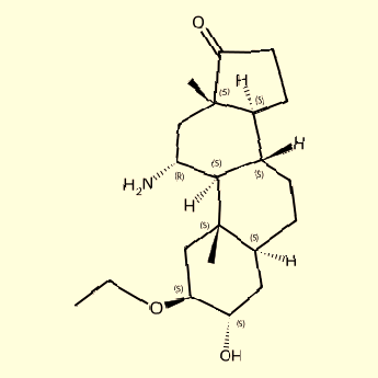 CCO[C@H]1C[C@@]2(C)[C@@H](CC[C@@H]3[C@@H]2[C@H](N)C[C@]2(C)C(=O)CC[C@@H]32)C[C@@H]1O